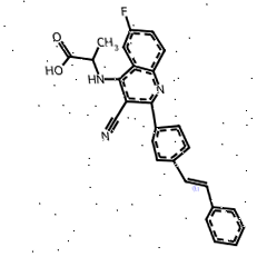 CC(Nc1c(C#N)c(-c2ccc(/C=C/c3ccccc3)cc2)nc2ccc(F)cc12)C(=O)O